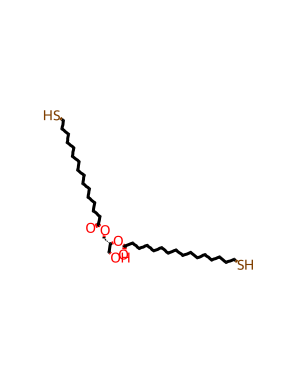 O=C(CCCCCCCCCCCCCCCS)OC[C@@H](CO)OC(=O)CCCCCCCCCCCCCCCS